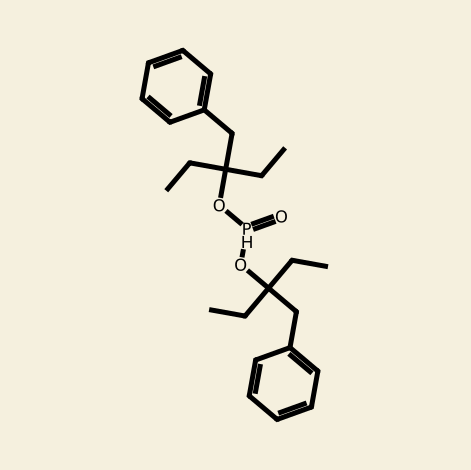 CCC(CC)(Cc1ccccc1)O[PH](=O)OC(CC)(CC)Cc1ccccc1